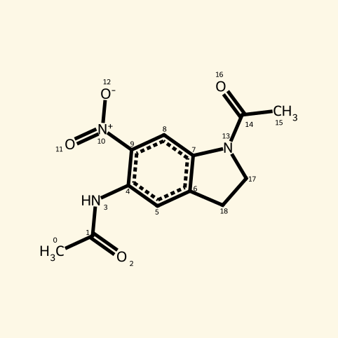 CC(=O)Nc1cc2c(cc1[N+](=O)[O-])N(C(C)=O)CC2